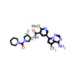 COc1ncc(-c2cc(C(F)(F)F)c3c(N)ncnn23)cc1C(=O)N[C@@H]1CN(C(=O)N2CCCCC2)C[C@@H]1F